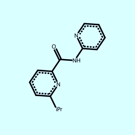 CC(C)c1cccc(C(=O)Nc2ccccn2)n1